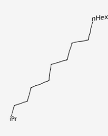 [CH2]CCCCCCCCCCCCCC([CH2])C